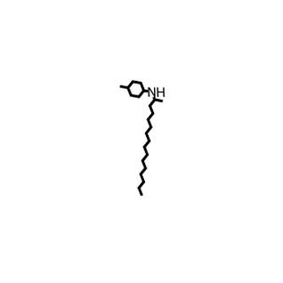 CCCCCCCCCCCCCCC(C)NC1CCC(C)CC1